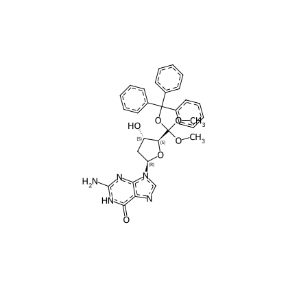 COC(OC)(OC(c1ccccc1)(c1ccccc1)c1ccccc1)[C@H]1O[C@@H](n2cnc3c(=O)[nH]c(N)nc32)C[C@@H]1O